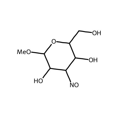 COC1OC(CO)C(O)C(N=O)C1O